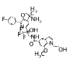 COc1cc(C(=O)NC[C@@](O)(c2cc3c(c(-c4ccc(F)cc4)n2)OC[C@@]3(C)N)C(F)(F)F)cc2ccn(CCO)c12